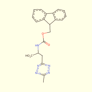 Cc1nnc(CC(NC(=O)OCC2c3ccccc3-c3ccccc32)C(=O)O)nn1